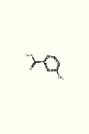 CNC(=O)c1c[c]cc(C(F)(F)F)c1